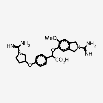 COc1cc2c(cc1OC(C(=O)O)c1ccc(OC3CCN(C(=N)N)C3)cc1)CN(C(=N)N)C2